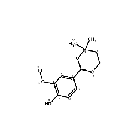 CCOc1cc(C2OCCC(C)(C)O2)ccc1O